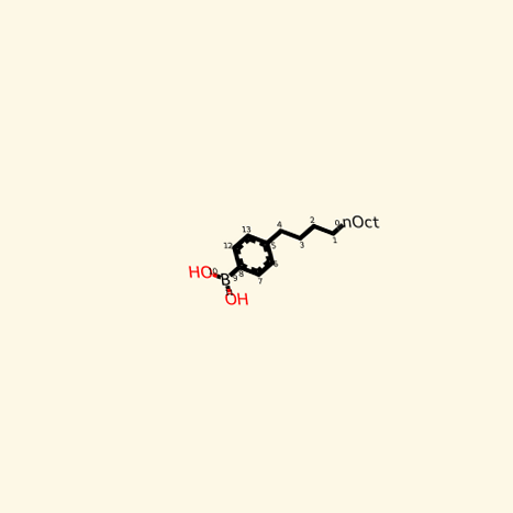 CCCCCCCCCCCCc1ccc(B(O)O)cc1